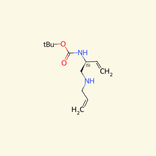 C=CCNC[C@H](C=C)NC(=O)OC(C)(C)C